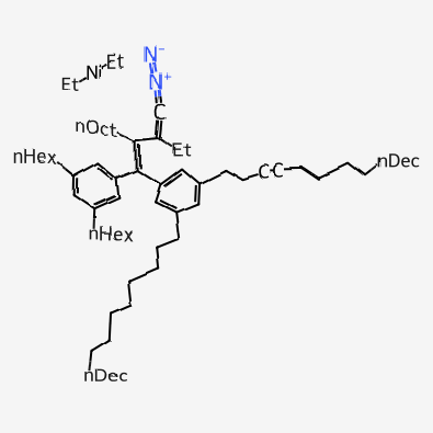 CCCCCCCCCCCCCCCCCCc1cc(CCCCCCCCCCCCCCCCCC)cc(C(=C(CCCCCCCC)C(=C=[N+]=[N-])CC)c2cc(CCCCCC)cc(CCCCCC)c2)c1.C[CH2][Ni][CH2]C